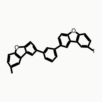 Cc1ccc2oc3ccc(-c4cccc(-c5ccc6oc7ccc(I)cc7c6c5)c4)cc3c2c1